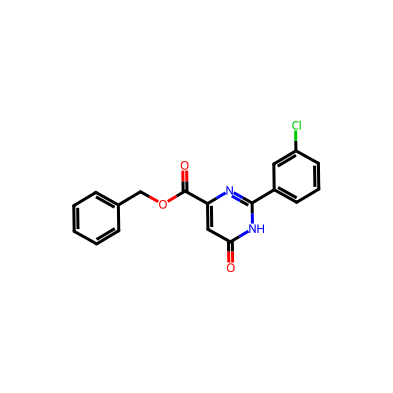 O=C(OCc1ccccc1)c1cc(=O)[nH]c(-c2cccc(Cl)c2)n1